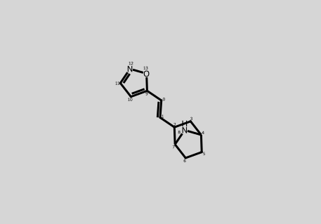 C(=CC1CC2CCC1N2)c1ccno1